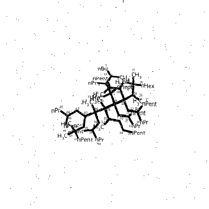 CCCCCCCC(C)(C(CCC)C(C)CCCC)C(CC(CCC)CCCCC)(C(CC(CCC)CCCCC)(C(C)C(C)CCCCC)C(C)C(C)(C)CCCCCC)C(C)(C(C)CCC(C)CCC)C(C)(CC(CCC)CCCCC)[C](CC(CCC)CCCCC)CC(C)(C)CCCCC